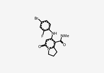 CNC(=O)c1c(Nc2ccc(Br)cc2F)cc(=O)n2c1CCC2